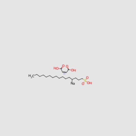 CCCCCCCCCCCC[CH]([Na])CCCS(=O)(=O)O.O=C(O)/C=C\C(=O)O